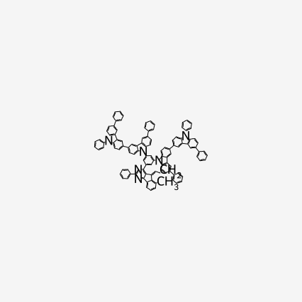 C=C/C=C1\c2c(C)cccc2-c2nc(-c3ccccc3)nc(-c3cc(-n4c5ccc(-c6ccccc6)cc5c5cc(-c6ccc7c(c6)c6cc(-c8ccccc8)ccc6n7-c6ccccc6)ccc54)cc(-n4c5ccc(-c6ccccc6)cc5c5cc(-c6ccc7c(c6)c6cc(-c8ccccc8)ccc6n7-c6ccccc6)ccc54)c3)c21